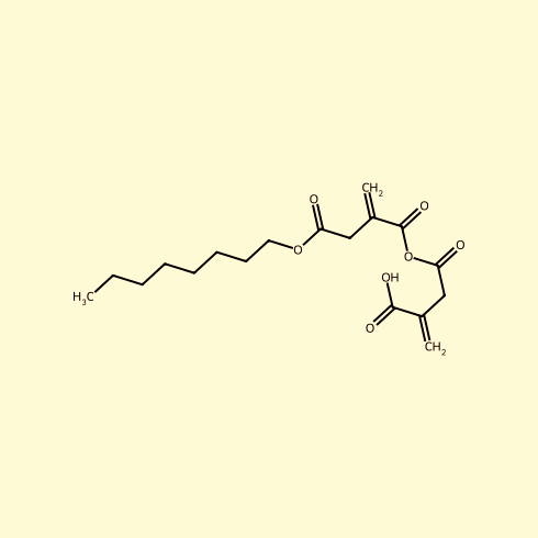 C=C(CC(=O)OC(=O)C(=C)CC(=O)OCCCCCCCC)C(=O)O